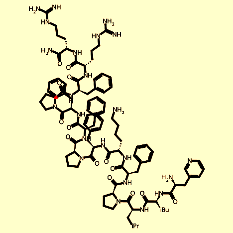 CC[C@H](C)[C@H](NC(=O)[C@@H](N)Cc1cccnc1)C(=O)N[C@@H](CC(C)C)C(=O)N1CCC[C@H]1C(=O)N[C@H](Cc1ccccc1)C(=O)N[C@@H](CCCCN)C(=O)N[C@H](Cc1ccccc1)C(=O)N1CCC[C@H]1C(=O)N[C@H](Cc1ccccc1)C(=O)N[C@H](Cc1ccccc1)C(=O)N1CCC[C@H]1C(=O)N[C@H](Cc1ccccc1)C(=O)N[C@@H](CCCNC(=N)N)C(=O)N[C@@H](CCCNC(=N)N)C(N)=O